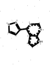 C1=CC(c2ncnc3[nH]ccc23)=N[N]1